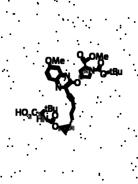 COC(=O)[C@@H]1C[C@@H](Oc2nc3cc(OC)ccc3nc2C#CCCC[C@@H]2C[C@H]2OC(=O)N[C@H](C(=O)O)C(C)(C)C)CN1C(=O)OC(C)(C)C